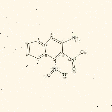 Nc1nc2ccccc2c([N+](=O)[O-])c1[N+](=O)[O-]